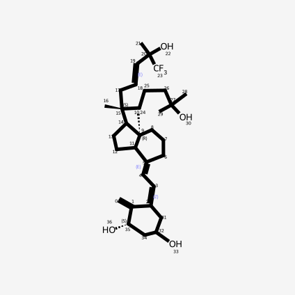 C=C1/C(=C\C=C2/CCC[C@@]3(C)C2CCC3[C@](C)(C/C=C/C(C)(O)C(F)(F)F)CCCC(C)(C)O)CC(O)C[C@@H]1O